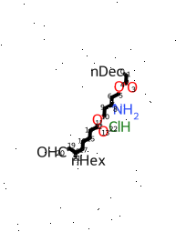 CCCCCCCCCCCC(=O)OCCC(N)CCOC(=O)CCCCC(CC=O)CCCCCC.Cl